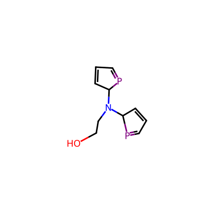 OCCN(C1C=CC=P1)C1C=CC=P1